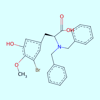 COc1c(O)cc(C[C@@H](C(=O)O)N(Cc2ccccc2)Cc2ccccc2)cc1Br